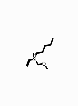 C=C[SiH](CCCCC)COC